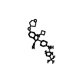 N#Cc1c(-c2ccc(Nc3nc(C(F)(F)F)cs3)cc2)n(C2CCC2)c2cc(OC3CCOCC3)ccc12